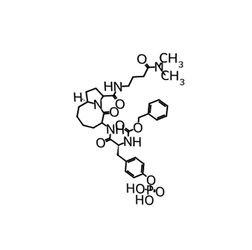 CN(C)C(=O)CCCNC(=O)C1CC[C@@H]2CCCCC(NC(=O)[C@H](Cc3ccc(OP(=O)(O)O)cc3)NC(=O)OCc3ccccc3)C(=O)N12